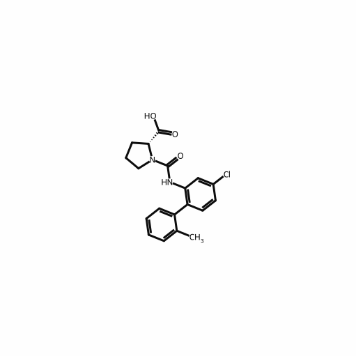 Cc1ccccc1-c1ccc(Cl)cc1NC(=O)N1CCC[C@@H]1C(=O)O